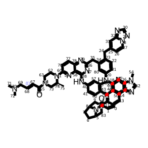 C=CC(=O)N1C2CCC1CN(c1ccc3ncnc(Nc4ccc(Cc5ccn6ncnc6c5)c(Cc5nc(Nc6ccc(Cc7ccc8c(c7)ncn8C)c(C)c6)c6nc(N7CCN(C(=O)/C=C/CN(C)C)C[C@@H]7C)ccc6n5)c4)c3n1)C2